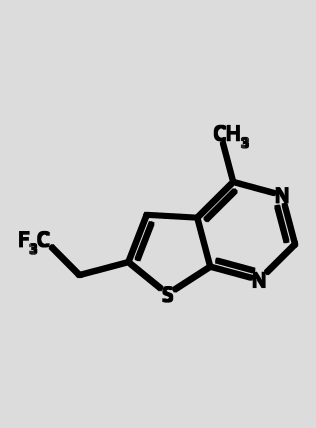 Cc1ncnc2sc(CC(F)(F)F)cc12